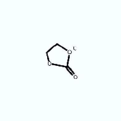 O=C1OCCO1.[C]